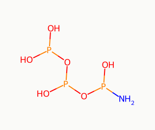 NP(O)OP(O)OP(O)O